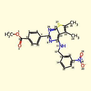 COC(=O)c1ccc(-c2nc(NCc3cccc([N+](=O)[O-])c3)c3c(C)c(C)sc3n2)cc1